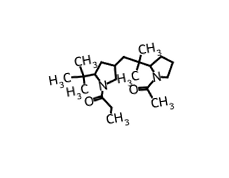 CCC(=O)N1CC(CC(C)(C)C2CCCN2C(C)=O)CC1C(C)(C)C